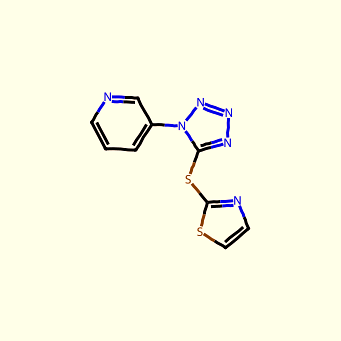 c1cncc(-n2nnnc2Sc2nccs2)c1